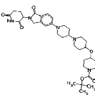 CC(C)(C)OC(=O)N1CCC(OC2CCN(C3CCN(c4ccc5c(c4)CN(C4CCC(=O)NC4=O)C5=O)CC3)CC2)CC1